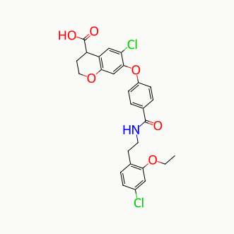 CCOc1cc(Cl)ccc1CCNC(=O)c1ccc(Oc2cc3c(cc2Cl)C(C(=O)O)CCO3)cc1